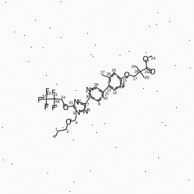 CCCOCn1nc(-c2ccc(-c3cnc(OCC(C)(C)C(=O)OC)cc3C)cn2)nc1OCC(F)(F)C(F)(F)F